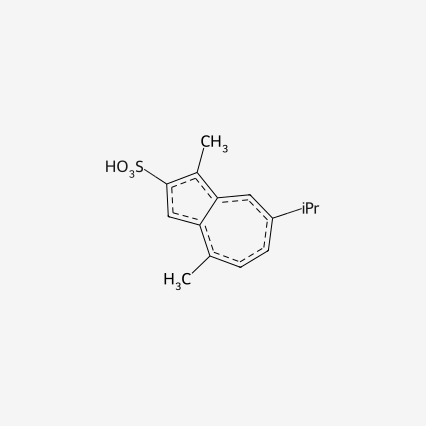 Cc1ccc(C(C)C)cc2c(C)c(S(=O)(=O)O)cc1-2